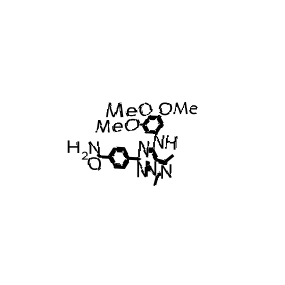 COc1cc(Nc2nc(-c3ccc(C(N)=O)cc3)nn3c(C)nc(C)c23)cc(OC)c1OC